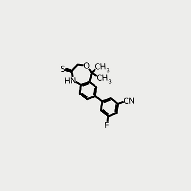 CC1(C)OCC(=S)Nc2ccc(-c3cc(F)cc(C#N)c3)cc21